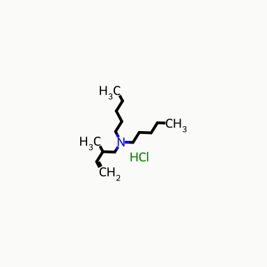 C=CC(C)CN(CCCCC)CCCCC.Cl